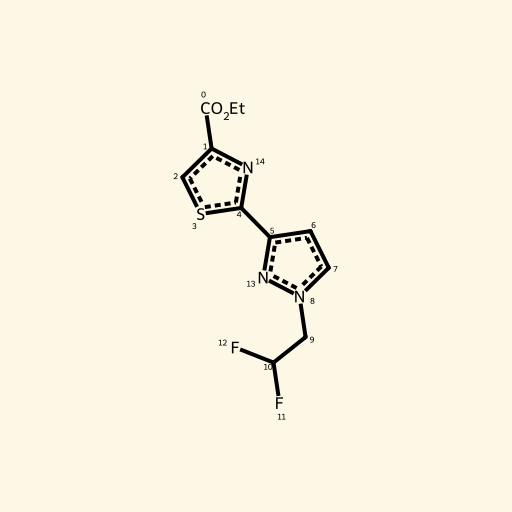 CCOC(=O)c1csc(-c2ccn(CC(F)F)n2)n1